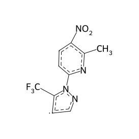 Cc1nc(-n2nc[c]c2C(F)(F)F)ccc1[N+](=O)[O-]